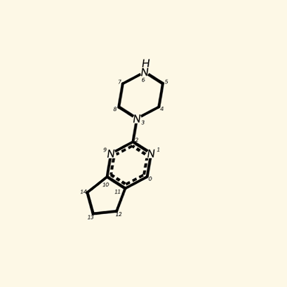 c1nc(N2CCNCC2)nc2c1CCC2